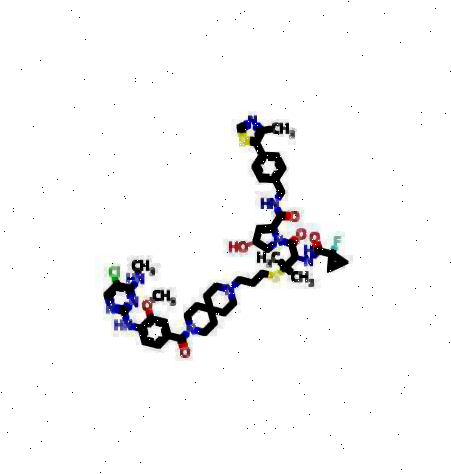 CNc1nc(Nc2ccc(C(=O)N3CCC4(CCN(CCCSC(C)(C)[C@H](NC(=O)C5(F)CC5)C(=O)N5C[C@H](O)C=C5C(=O)NCc5ccc(-c6scnc6C)cc5)CC4)CC3)cc2OC)ncc1Cl